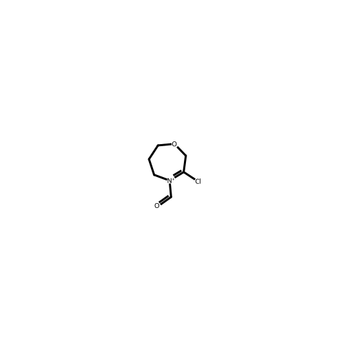 O=C[N+]1=C(Cl)COCCC1